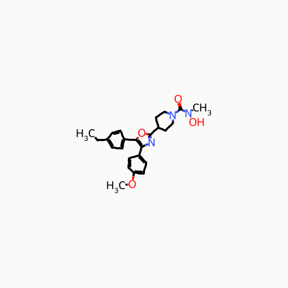 CCc1ccc(-c2oc(C3CCN(C(=O)N(C)O)CC3)nc2-c2ccc(OC)cc2)cc1